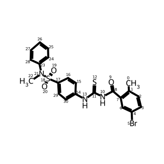 Cc1ccc(Br)cc1C(=O)NC(=S)Nc1ccc(S(=O)(=O)N(C)c2ccccc2)cc1